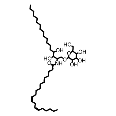 CCCCC/C=C\C/C=C\CCCCCCCCCC(=O)NC(COC1OC(CO)C(O)C(O)C1O)C(O)C(O)CCCCCCCCCCCCCC